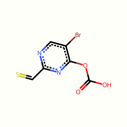 O=C(O)Oc1nc(C=S)ncc1Br